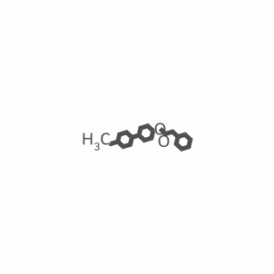 CCC1CCC(C2CCC(OC(=O)CC3CCCCC3)CC2)CC1